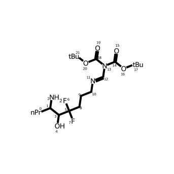 CCCC(N)C(O)C(F)(F)CCCN=CN(C(=O)OC(C)(C)C)C(=O)OC(C)(C)C